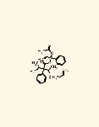 C=C[SiH3].C=C[Si](OC(C)=O)(OC(=O)C(c1ccccc1)(C(C)C)C(C)C)c1ccccc1